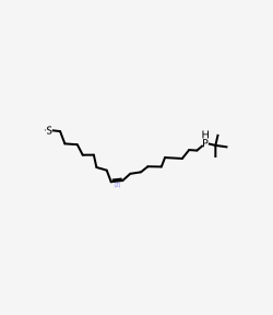 CC(C)(C)PCCCCCCCC/C=C\CCCCCCC[S]